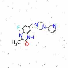 Cc1nc2c(F)cc(CN3CCN(c4cccnc4)CC3)cc2[nH]c1=O